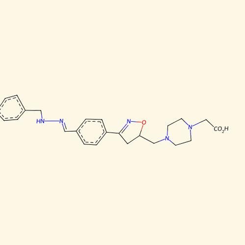 O=C(O)CN1CCN(CC2CC(c3ccc(C=NNCc4ccccc4)cc3)=NO2)CC1